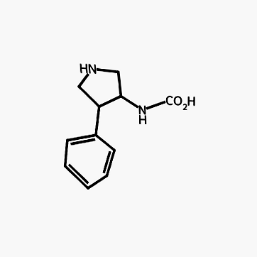 O=C(O)NC1CNCC1c1ccccc1